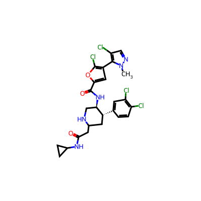 Cn1ncc(Cl)c1-c1cc(C(=O)N[C@@H]2CNC(CC(=O)NC3CC3)C[C@H]2c2ccc(Cl)c(Cl)c2)oc1Cl